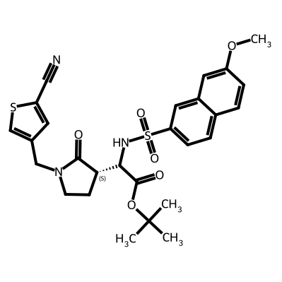 COc1ccc2ccc(S(=O)(=O)NC(C(=O)OC(C)(C)C)[C@@H]3CCN(Cc4csc(C#N)c4)C3=O)cc2c1